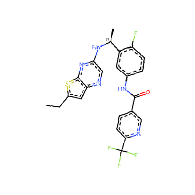 CCc1cc2ncc(N[C@@H](C)c3cc(NC(=O)c4ccc(C(F)(F)F)nc4)ccc3F)nc2s1